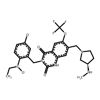 CC[S+]([O-])c1ccc(Cl)cc1Cn1c(=O)[nH]c2cc(CN3CC[C@@H](NC)C3)c(OC(F)(F)F)cc2c1=O